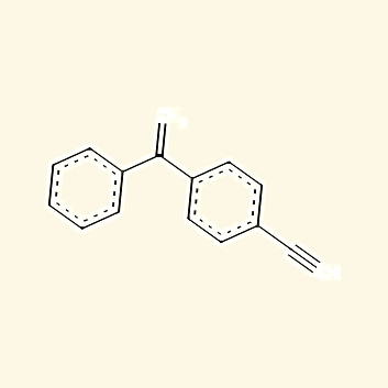 C#Cc1ccc(C(=C)c2ccccc2)cc1